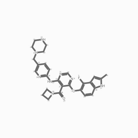 Cc1cc2c(F)c(Oc3ncnc(Nc4ccc(CN5CCNCC5)cn4)c3C(=O)N3CCC3)ccc2[nH]1